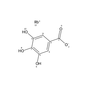 O=C([O-])c1cc(O)c(O)c(O)c1.[Rb+]